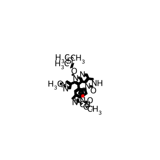 COC(=O)N[C@@H]1CC[C@@H](N2C(=O)NCc3cnc4c(c(-c5ccc6c(cnn6C)c5)c(-c5cnn(C)c5)n4COCC[Si](C)(C)C)c32)C1